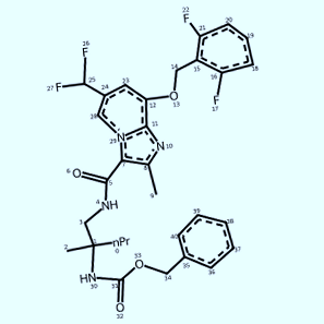 CCCC(C)(CNC(=O)c1c(C)nc2c(OCc3c(F)cccc3F)cc(C(F)F)cn12)NC(=O)OCc1ccccc1